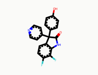 O=C1Nc2c(ccc(F)c2F)C1(c1ccncc1)c1ccc(O)cc1